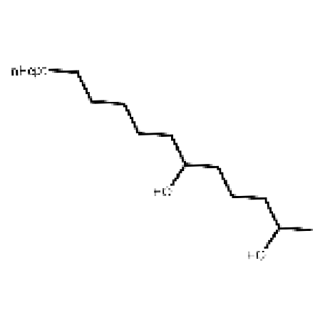 CCCCCCCCCCCCC(O)CCCC(C)O